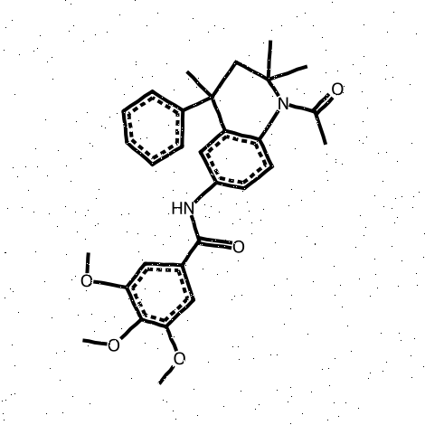 COc1cc(C(=O)Nc2ccc3c(c2)C(C)(c2ccccc2)CC(C)(C)N3C(C)=O)cc(OC)c1OC